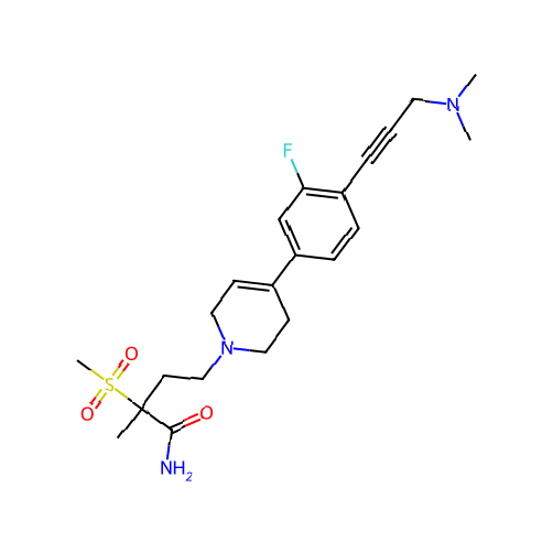 CN(C)CC#Cc1ccc(C2=CCN(CCC(C)(C(N)=O)S(C)(=O)=O)CC2)cc1F